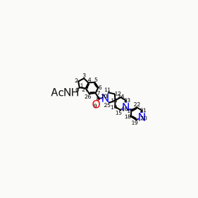 CC(=O)NC1CCc2ccc(C(=O)N3CCC4(CCN(c5ccncc5)CC4)C3)cc21